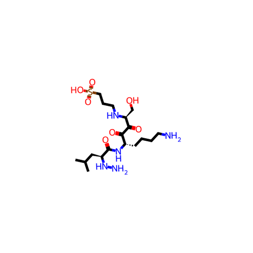 CC(C)C[C@H](NN)C(=O)N[C@@H](CCCCN)C(=O)C(=O)[C@H](CO)NCCCS(=O)(=O)O